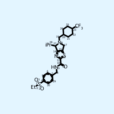 CCS(=O)(=O)c1ccc(CNC(=O)c2nc3c(s2)CN(CC2CCC(C(F)(F)F)CC2)C3C(C)C)cc1